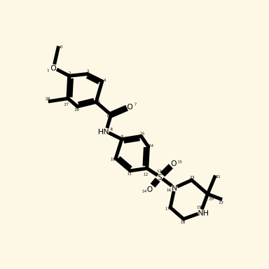 COc1ccc(C(=O)Nc2ccc(S(=O)(=O)N3CCNC(C)(C)C3)cc2)cc1C